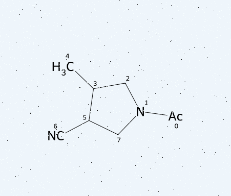 CC(=O)N1CC(C)C(C#N)C1